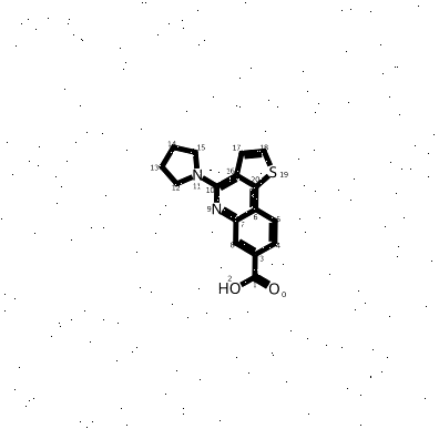 O=C(O)c1ccc2c(c1)nc(N1CCCC1)c1ccsc12